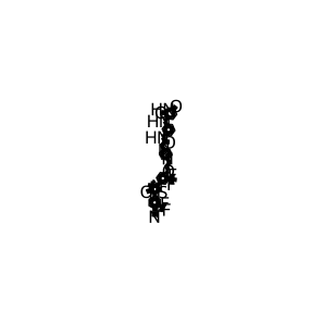 CC(F)(F)c1cc(N2C(=S)N(c3ccc(C#N)c(C(F)(F)F)c3)C(=O)C2(C)C)ccc1OCCN1CCN(CC(=O)Nc2cccc(NC3CCC(=O)NC3=O)c2)CC1